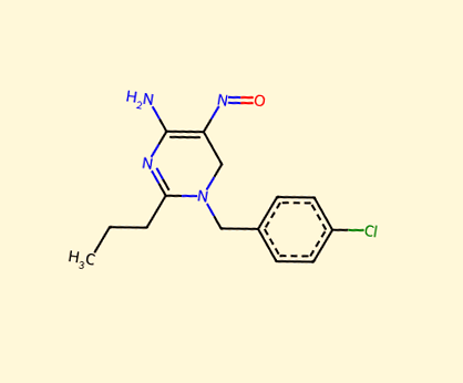 CCCC1=NC(N)=C(N=O)CN1Cc1ccc(Cl)cc1